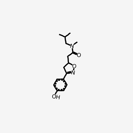 CC(C)CN(C)C(=O)CC1CC(c2ccc(O)cc2)=NO1